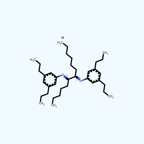 CCCCCCC(=N\c1cc(CCC)cc(CCC)c1)/C(CCCCC)=N/c1cc(CCC)cc(CCC)c1.[Ni]